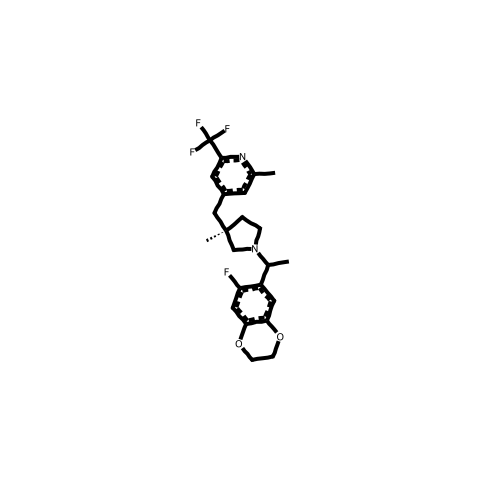 Cc1cc(C[C@@]2(C)CCN(C(C)c3cc4c(cc3F)OCCO4)C2)cc(C(F)(F)F)n1